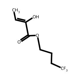 CC=C(O)C(=O)OCCCC(F)(F)F